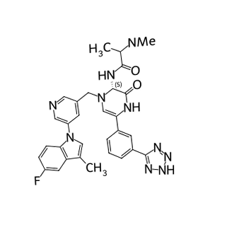 CNC(C)C(=O)N[C@@H]1C(=O)NC(c2cccc(-c3nn[nH]n3)c2)=CN1Cc1cncc(-n2cc(C)c3cc(F)ccc32)c1